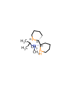 CN[C@]1([C@H]2CCCC[P@]2C(C)(C)C)CCCCP1